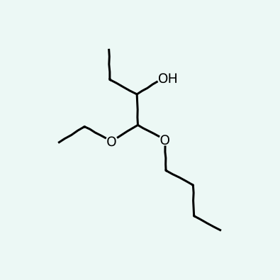 CCCCOC(OCC)C(O)CC